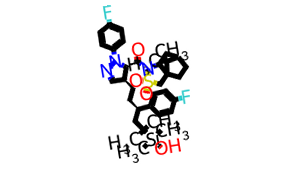 CC1(C)C2CCC13CS(=O)(=O)N(C(=O)[C@@H]1[C@@H](CC[C@H](CC(C)(C)[Si](C)(C)O)c4ccc(F)cc4)C=NN1c1ccc(F)cc1)C3C2